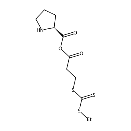 CCSC(=S)SCCC(=O)OC(=O)[C@@H]1CCCN1